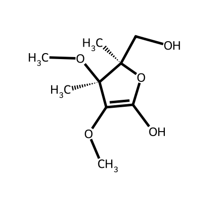 COC1=C(O)O[C@](C)(CO)[C@]1(C)OC